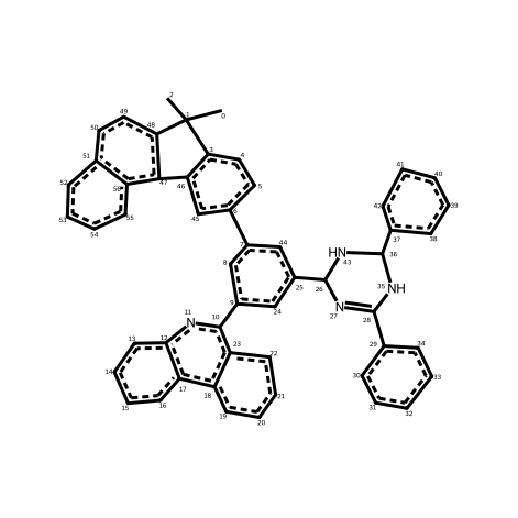 CC1(C)c2ccc(-c3cc(-c4nc5ccccc5c5ccccc45)cc(C4N=C(c5ccccc5)NC(c5ccccc5)N4)c3)cc2-c2c1ccc1ccccc21